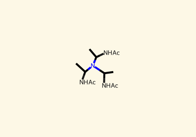 CC(=O)NC(C)N(C(C)NC(C)=O)C(C)NC(C)=O